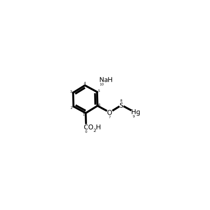 O=C(O)c1ccccc1O[S][Hg].[NaH]